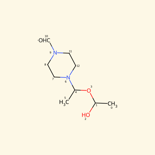 CC(O)OC(C)N1CCN([C]=O)CC1